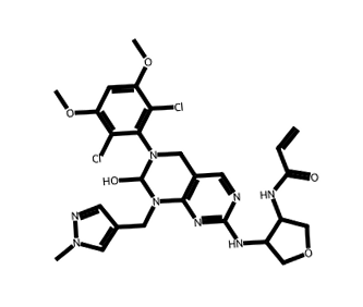 C=CC(=O)NC1COCC1Nc1ncc2c(n1)N(Cc1cnn(C)c1)C(O)N(c1c(Cl)c(OC)cc(OC)c1Cl)C2